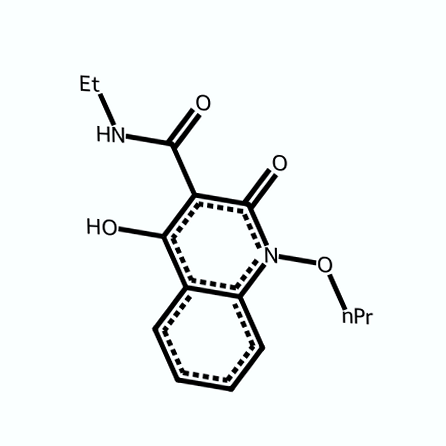 CCCOn1c(=O)c(C(=O)NCC)c(O)c2ccccc21